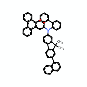 CC1(C)c2cc(-c3cccc4ccccc34)ccc2-c2ccc(N(c3ccc4c5ccccc5c5ccccc5c4c3)c3ccccc3-c3ccccc3)cc21